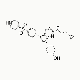 O=S(=O)(c1ccc(-c2cn([C@H]3CC[C@H](O)CC3)c3nc(NCCC4CC4)ncc23)cc1)N1CCNCC1